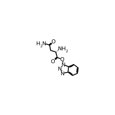 NC(=O)C[C@H](N)C(=O)On1nnc2ccccc21